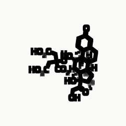 C[C@H]1C[C@H]2[C@@H]3CCC4=CC(=O)C=C[C@]4(C)[C@@]3(F)[C@@H](O)C[C@]2(C)[C@@]1(O)C(=O)CO.O=C(O)CC(O)(CC(=O)O)C(=O)O